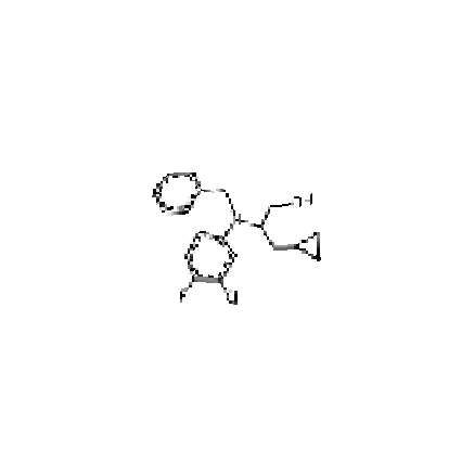 OCC(CC1CC1)N(Cc1ccccc1)c1ccc(F)c(Cl)c1